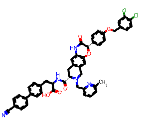 Cc1cccc(CN2Cc3cc4c(cc3C[C@H]2C(=O)NC(Cc2ccc(-c3ccc(C#N)cc3)cc2)C(=O)O)NC(=O)[C@H](c2ccc(OCc3ccc(Cl)c(Cl)c3)cc2)O4)n1